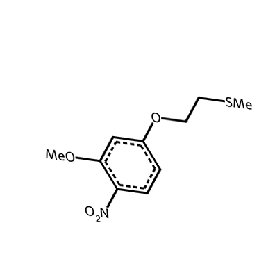 COc1cc(OCCSC)ccc1[N+](=O)[O-]